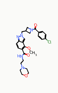 COc1c(C(=O)NCCN2CCOCC2)ccc2nn(CC3CN(C(=O)c4ccc(Cl)cc4)C3)cc12